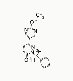 [2H]C([2H])(c1ccccc1)n1nc(-c2cnc(OCC(F)(F)F)nc2)ccc1=O